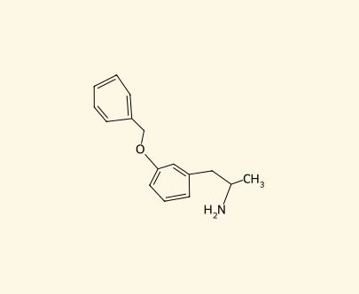 CC(N)Cc1cccc(OCc2ccccc2)c1